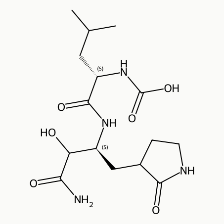 CC(C)C[C@H](NC(=O)O)C(=O)N[C@@H](CC1CCNC1=O)C(O)C(N)=O